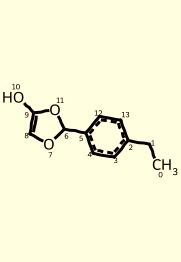 CCc1ccc(C2OC=C(O)O2)cc1